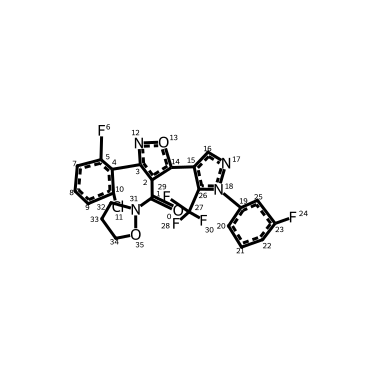 O=C(c1c(-c2c(F)cccc2Cl)noc1-c1cnn(-c2cccc(F)c2)c1C(F)(F)F)N1CCCO1